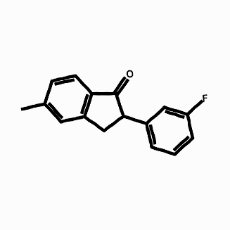 Cc1ccc2c(c1)CC(c1cccc(F)c1)C2=O